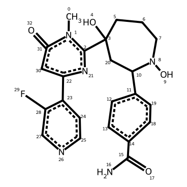 Cn1c(C2(O)CCCN(O)C(c3ccc(C(N)=O)cc3)C2)nc(-c2ccncc2F)cc1=O